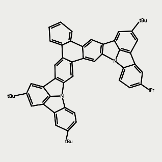 CC(C)c1ccc2c(c1)c1cc(C(C)(C)C)cc3c4cc5c6ccccc6c6cc7c8cc(C(C)(C)C)cc9c%10cc(C(C)(C)C)ccc%10n(c7cc6c5cc4n2c13)c98